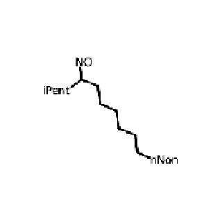 CCCCCCCCCCCCCCCC(N=O)C(C)CCC